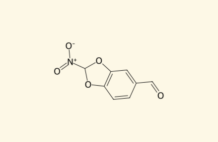 O=Cc1ccc2c(c1)OC([N+](=O)[O-])O2